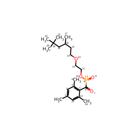 Cc1cc(C)c(C(=O)[PH](=O)OCCOCCC(C)CC(C)(C)C)c(C)c1